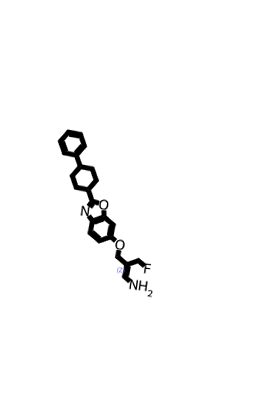 N/C=C(\CF)COc1ccc2nc(C3CCC(c4ccccc4)CC3)oc2c1